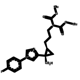 CC(C)(C)OC(=O)N(CCC[C@H]1C[C@]1(C(=O)O)c1cn(-c2ccc(F)cc2)cn1)C(=O)OC(C)(C)C